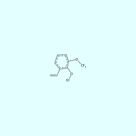 C=[C]c1cccc(OC(F)(F)F)c1OCC